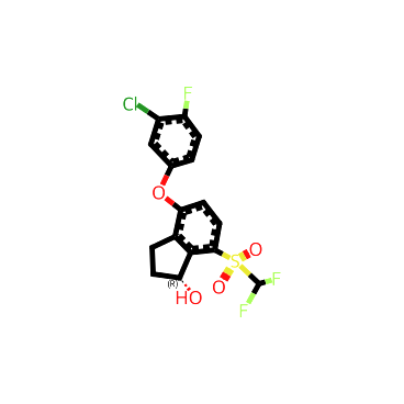 O=S(=O)(c1ccc(Oc2ccc(F)c(Cl)c2)c2c1[C@H](O)CC2)C(F)F